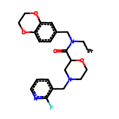 CC(C)CN(Cc1ccc2c(c1)OCCO2)C(=O)C1CN(Cc2cccnc2F)CCO1